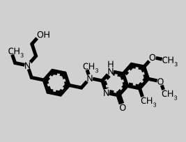 CCN(CCO)Cc1ccc(CN(C)c2nc(=O)c3c(C)c(OC)c(OC)cc3[nH]2)cc1